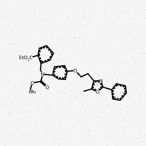 CCOC(=O)c1ccccc1CN(C(=O)OC(C)(C)C)c1ccc(OCCc2nc(-c3ccccc3)oc2C)cc1